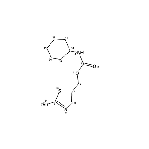 CC(C)(C)c1ncc(COC(=O)NC2CCCCC2)s1